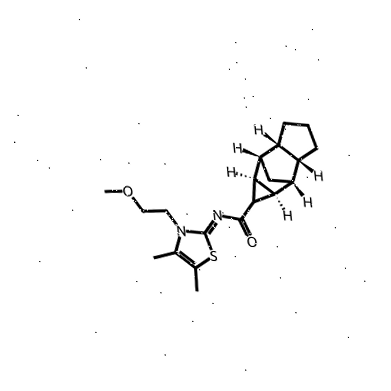 COCCn1c(C)c(C)sc1=NC(=O)C1[C@@H]2[C@@H]3C[C@@H]([C@@H]4CCC[C@@H]43)[C@H]12